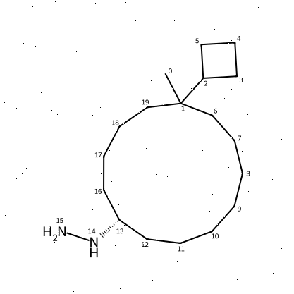 CC1(C2CCC2)CCCCCCC[C@H](NN)CCCC1